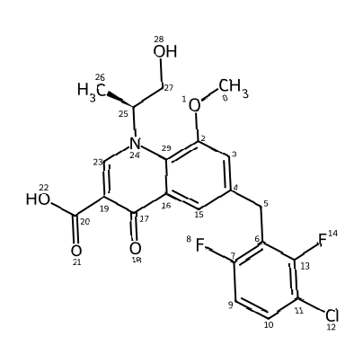 COc1cc(Cc2c(F)ccc(Cl)c2F)cc2c(=O)c(C(=O)O)cn([C@@H](C)CO)c12